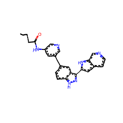 CCCC(=O)Nc1cncc(-c2ccc3[nH]nc(-c4cc5ccncc5[nH]4)c3c2)c1